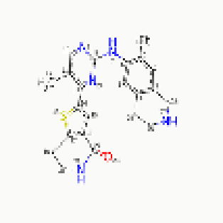 CCc1cc2c(cc1Nc1ncc(C(F)(F)F)c(-c3cc4c(s3)CCNC4=O)n1)CCNC2